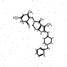 Cc1cc(C)c(CN2CCc3sc(CC4CCN(Cc5ccccn5)CC4)c(C)c3C2=O)c(=O)[nH]1